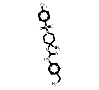 CCc1ccc(NC(=O)OC2(N)CCN(S(=O)(=O)c3ccc(C)cc3)CC2)cc1